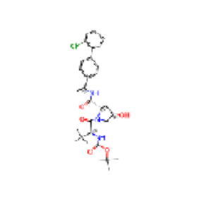 C[C@H](NC(=O)[C@@H]1C[C@@H](O)CN1C(=O)[C@@H](NC(=O)OC(C)(C)C)C(C)(C)C)c1ccc(-c2ccccc2Cl)cc1